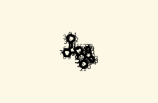 c1ccc(-n2c3ccccc3c3c4c(ccc32)C2(c3ccccc3S4)c3ccccc3-c3ccccc32)cc1